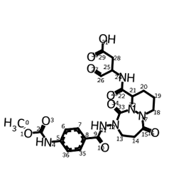 COC(=O)Nc1ccc(C(=O)NN2CCC(=O)N3CCCC(C(=O)NC(C=O)CC(=O)O)N3C2=O)cc1